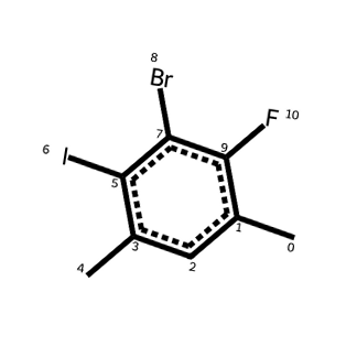 Cc1cc(C)c(I)c(Br)c1F